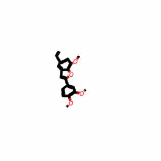 C=Cc1cc(OC)c2oc(-c3ccc(OC)c(OC)c3)cc2c1